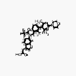 Cc1nc(N2CCOCC2)nc(C)c1-c1cccc(CN(C(=O)C(F)(F)F)c2ccc3c(c2)OC[C@H]3CC(=O)O)c1C